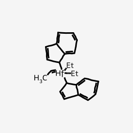 C[CH]=[Hf]([CH2]C)([CH2]C)([CH]1C=Cc2ccccc21)[CH]1C=Cc2ccccc21